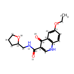 CCOc1ccc2[nH]cc(C(=O)NCC3CCCO3)c(=O)c2c1